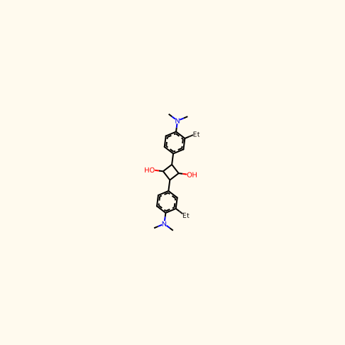 CCc1cc(C2C(O)C(c3ccc(N(C)C)c(CC)c3)C2O)ccc1N(C)C